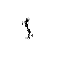 CC(C)(C)c1cc(NC(=O)Nc2ccc(C#Cc3ccc(OCCCNCCO)cc3)cc2F)no1